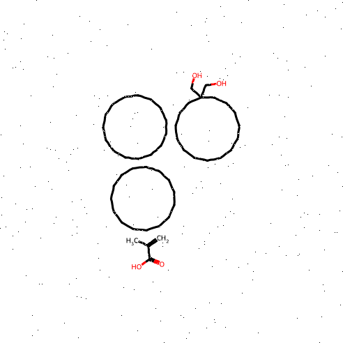 C1CCCCCCCCCCCCCC1.C1CCCCCCCCCCCCCC1.C=C(C)C(=O)O.OCC1(CO)CCCCCCCCCCCCCC1